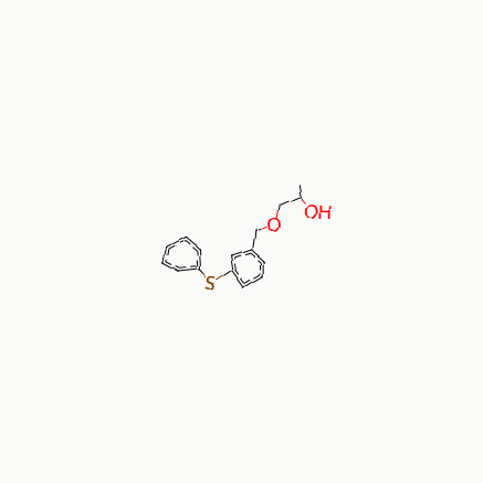 CC(O)COCc1cccc(Sc2ccccc2)c1